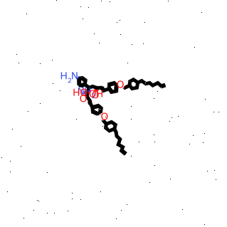 C=CCCCCCC1CCC(COc2ccc(/C=C/C(=O)CC(c3ccc(N)cc3N)C(O)(O)C(=O)/C=C/c3ccc(OCC4CCC(CCCCCC=C)CC4)cc3)cc2)CC1